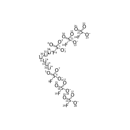 O=S(=O)([O-])F.O=S(=O)([O-])F.O=S(=O)([O-])F.O=S(=O)([O-])F.O=S(=O)([O-])F.O=S(=O)([O-])F.[Li+].[Li+].[Li+].[Li+].[Li+].[Li+]